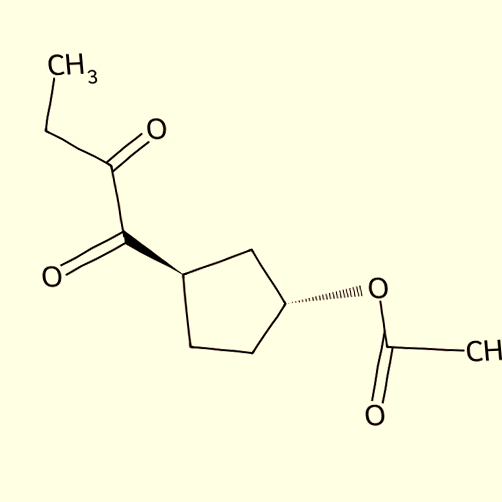 CCC(=O)C(=O)[C@@H]1CC[C@@H](OC(C)=O)C1